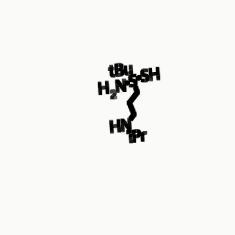 CC(C)NCCCS(N)(S)C(C)(C)C